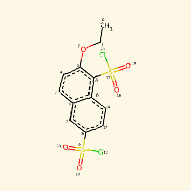 CCOc1ccc2cc(S(=O)(=O)Cl)ccc2c1S(=O)(=O)Cl